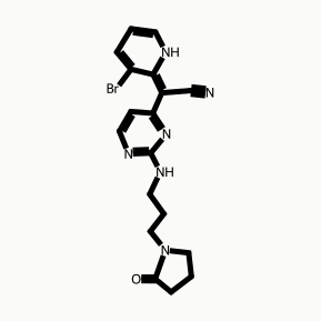 N#CC(=C1NC=CC=C1Br)c1ccnc(NCCCN2CCCC2=O)n1